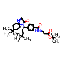 CC(C)(C)CC[C@H](c1ccc(C(=O)NCCC(=O)OC(C)(C)C)cc1)N1C(=O)C=NC12CCC(C(C)(C)C)CC2